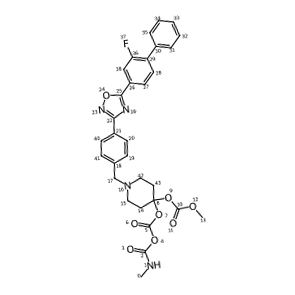 CNC(=O)OC(=O)OC1(OC(=O)OC)CCN(Cc2ccc(-c3noc(-c4ccc(-c5ccccc5)c(F)c4)n3)cc2)CC1